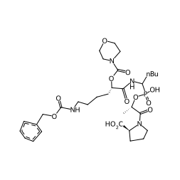 CCCCC(NC(=O)[C@H](CCCCNC(=O)OCc1ccccc1)OC(=O)N1CCOCC1)P(=O)(O)O[C@@H](C)C(=O)N1CCC[C@H]1C(=O)O